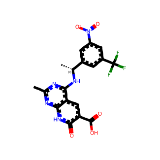 Cc1nc(N[C@H](C)c2cc([N+](=O)[O-])cc(C(F)(F)F)c2)c2cc(C(=O)O)c(=O)[nH]c2n1